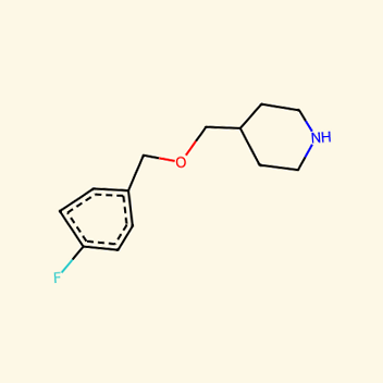 Fc1ccc(COCC2CCNCC2)cc1